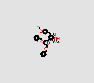 CCOc1ccc(Cc2cc(C3CC(OCc4ccccc4)CC(COCc4ccccc4)O3)c(OC)c(O)c2Cl)cc1